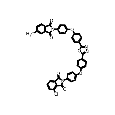 Cc1ccc2c(c1)C(=O)N(c1ccc(Oc3ccc(-c4nnc(-c5ccc(Oc6ccc(N7C(=O)c8cccc(Cl)c8C7=O)cc6)cc5)o4)cc3)cc1)C2=O